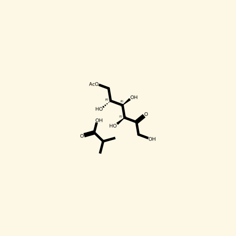 CC(=O)OC[C@@H](O)[C@@H](O)[C@H](O)C(=O)CO.CC(C)C(=O)O